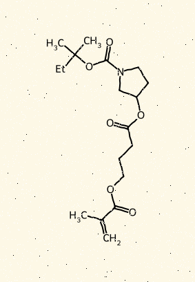 C=C(C)C(=O)OCCCC(=O)OC1CCN(C(=O)OC(C)(C)CC)C1